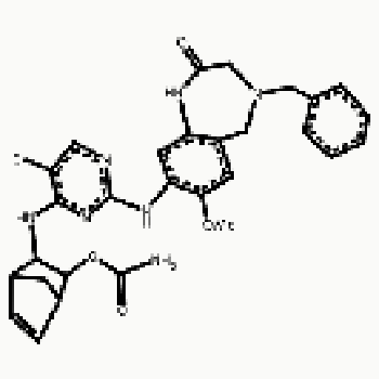 COc1cc2c(cc1Nc1ncc(Cl)c(NC3C4C=CC(C4)C3OC(N)=O)n1)NC(=O)CN(Cc1ccccc1)C2